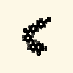 N#Cc1ccc(N2CCN(C(=O)c3cccc(Cc4cccc5c(=O)[nH]ncc45)c3)CC2)nc1